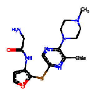 COc1nc(Sc2occc2NC(=O)CN)cnc1N1CCN(C)CC1